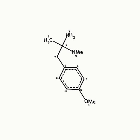 CNC(C)(N)Cc1ccc(OC)cc1